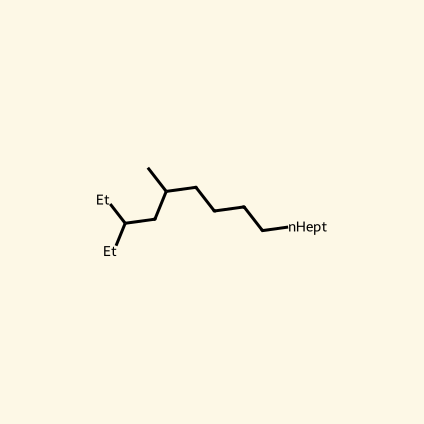 CCCCCCCCCCCC(C)CC(CC)CC